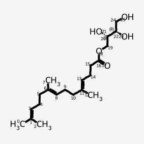 CC(C)=CCCC(C)=CCCC(C)=CCCC(=O)OC[C@H](O)[C@H](O)CO